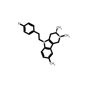 Cc1ccc2c(c1)c1c(n2CCc2ccc(F)cc2)C[C@@H](C)N(C)C1